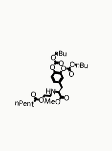 CCCCCC(=O)OCCN[C@@H](Cc1ccc(OC(=O)OCCCC)c(OC(=O)OCCCC)c1)C(=O)OC